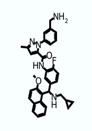 COc1ccc2ccccc2c1C(NCC1CC1)c1ccc(F)c(NC(=O)c2cc(C)nn2-c2cccc(CN)c2)c1